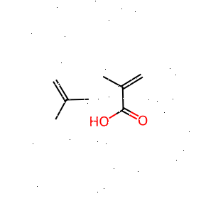 C=C(C)C.C=C(C)C(=O)O